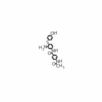 CC(=O)Nc1ccc(C(=O)Nc2ccc(Sc3ccc(O)cc3)c(N)c2)cc1